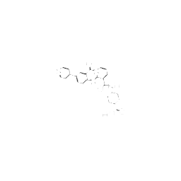 O=C(N[C@H]1CC[C@@H](C(=O)O)CC1)c1cccn2c(=O)c3cc(-c4ccncc4)ccc3nc12